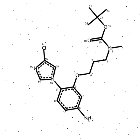 CN(CCCOc1cc(N)ccc1-n1cnc(Cl)c1)C(=O)OC(C)(C)C